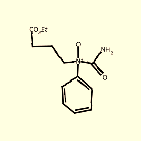 CCOC(=O)CCC[N+]([O-])(C(N)=O)c1ccccc1